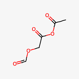 CC(=O)OC(=O)COC=O